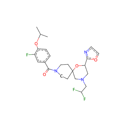 CC(C)Oc1ccc(C(=O)N2CCC3(CC2)CN(CC(F)F)CC(c2ncco2)O3)cc1F